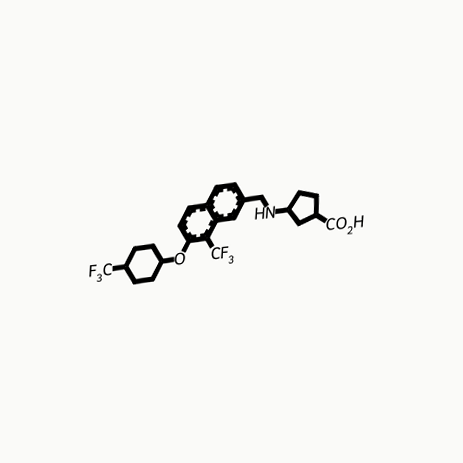 O=C(O)C1CCC(NCc2ccc3ccc(OC4CCC(C(F)(F)F)CC4)c(C(F)(F)F)c3c2)C1